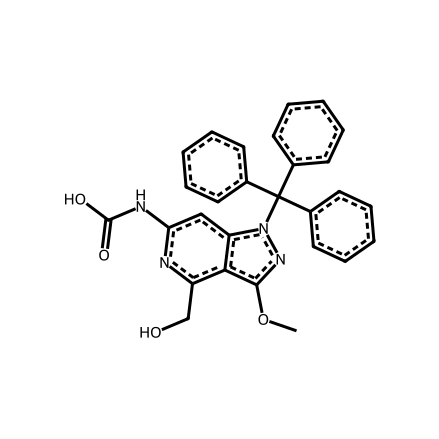 COc1nn(C(c2ccccc2)(c2ccccc2)c2ccccc2)c2cc(NC(=O)O)nc(CO)c12